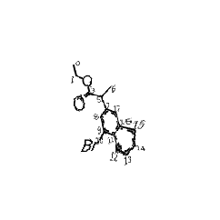 CCOC(=O)C(C)c1cc(Br)c2ccccc2c1